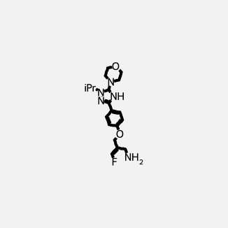 CC(C)N1N=C(c2ccc(OC/C(=C/F)CN)cc2)NC1N1CCOCC1